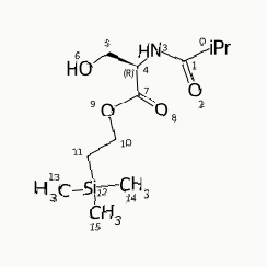 CC(C)C(=O)N[C@H](CO)C(=O)OCC[Si](C)(C)C